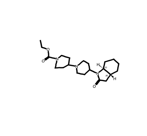 CCOC(=O)N1CCC(N2CCC(N3C(=O)C[C@H]4CCCC[C@@H]43)CC2)CC1